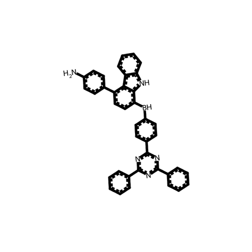 Nc1ccc(-c2ccc(Bc3ccc(-c4nc(-c5ccccc5)nc(-c5ccccc5)n4)cc3)c3[nH]c4ccccc4c23)cc1